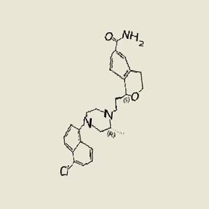 C[C@@H]1CN(c2cccc3c(Cl)cccc23)CCN1CC[C@@H]1OCCc2cc(C(N)=O)ccc21